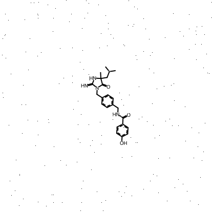 CC(C)CC1(C)NC(=N)N(Cc2ccc(CNC(=O)c3ccc(O)cc3)cc2)C1=O